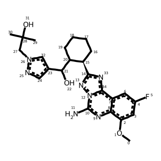 COc1cc(F)cc2c1nc(N)n1nc([C@@H]3CCCCC3C(O)c3cnn(CC(C)(C)O)c3)nc21